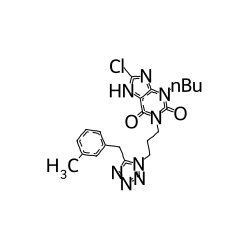 CCCCn1c(=O)n(CCCn2nnnc2Cc2cccc(C)c2)c(=O)c2[nH]c(Cl)nc21